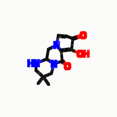 CC1(C)CNC2Cn3ccc(=O)c(O)c3C(=O)N2C1